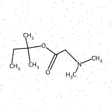 CCC(C)(C)OC(=O)CN(C)C